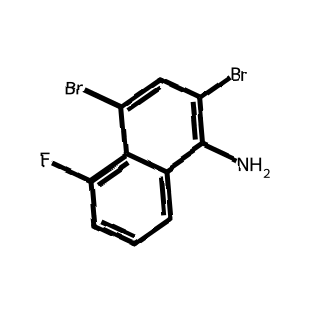 Nc1c(Br)cc(Br)c2c(F)cccc12